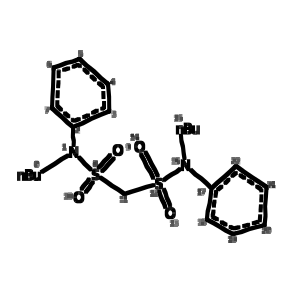 CCCCN(c1ccccc1)S(=O)(=O)CS(=O)(=O)N(CCCC)c1ccccc1